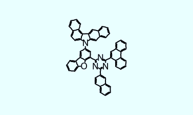 c1ccc2cc(-c3nc(-c4cc5ccccc5c5ccccc45)nc(-c4cc(-n5c6cc7ccccc7cc6c6c7ccccc7ccc65)cc5c4oc4ccccc45)n3)ccc2c1